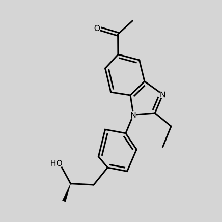 CCc1nc2cc(C(C)=O)ccc2n1-c1ccc(C[C@@H](C)O)cc1